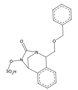 O=C1N2CC(c3ccccc3C2COCc2ccccc2)N1OS(=O)(=O)O